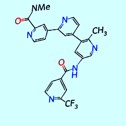 CNC(=O)c1cc(-c2cc(-c3cc(NC(=O)c4ccnc(C(F)(F)F)c4)cnc3C)ccn2)ccn1